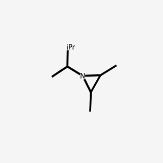 CC(C)C(C)N1C(C)C1C